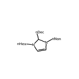 CCCCCCCCCCC1N(CCCCCC)C=CN1CCCCCCCCC